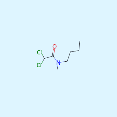 CCCCN(C)C(=O)C(Cl)Cl